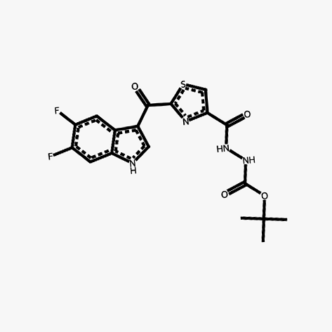 CC(C)(C)OC(=O)NNC(=O)c1csc(C(=O)c2c[nH]c3cc(F)c(F)cc23)n1